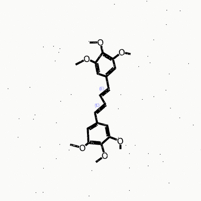 COc1cc(/C=C/C=C/c2cc(OC)c(OC)c(OC)c2)cc(OC)c1OC